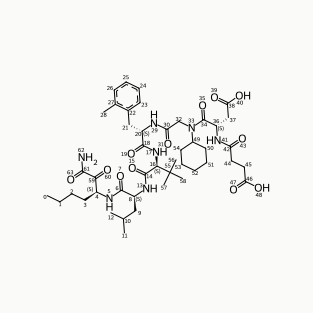 CCCC[C@H](NC(=O)[C@H](CC(C)C)NC(=O)[C@@H](NC(=O)[C@H](Cc1ccccc1C)NC(=O)CN(C(=O)[C@H](CC(=O)O)NC(=O)CCC(=O)O)C1CCCCC1)C(C)(C)C)C(=O)C(N)=O